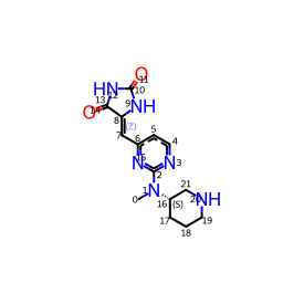 CN(c1nccc(/C=C2\NC(=O)NC2=O)n1)[C@H]1CCCNC1